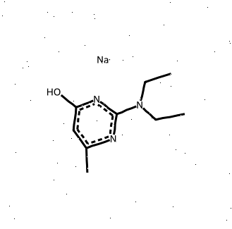 CCN(CC)c1nc(C)cc(O)n1.[Na]